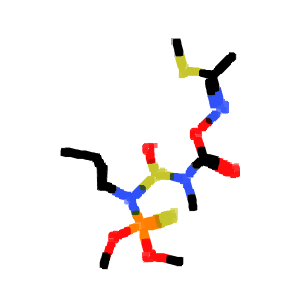 CCCN([S+]([O-])N(C)C(=O)ON=C(C)SC)P(=S)(OC)OC